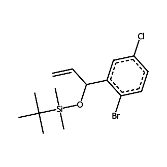 C=CC(O[Si](C)(C)C(C)(C)C)c1cc(Cl)ccc1Br